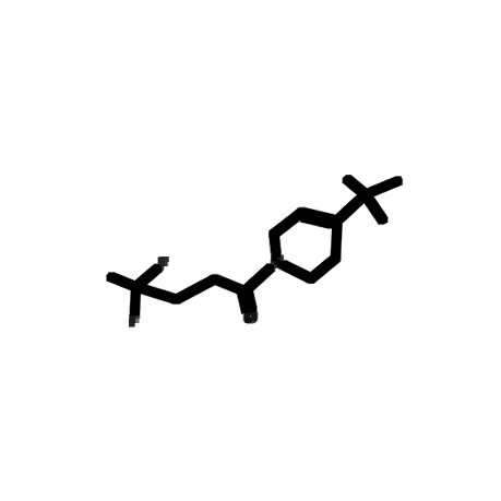 CC(F)(F)CCC(=O)N1CC=C(C(C)(C)C)CC1